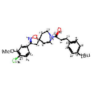 COc1cc(C2=NOC3(CCN(C(=O)C=Cc4ccc(C(C)(C)C)cc4)CC3)C2)ccc1Cl